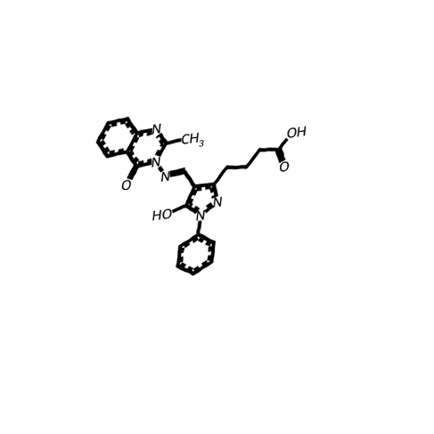 Cc1nc2ccccc2c(=O)n1/N=C/c1c(CCCC(=O)O)nn(-c2ccccc2)c1O